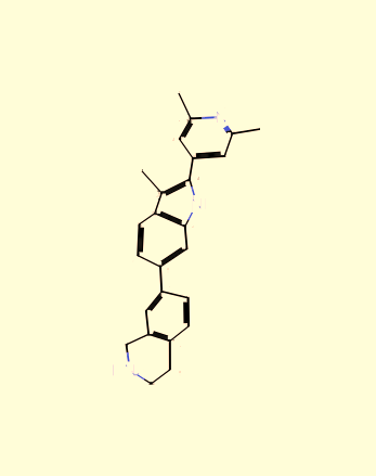 Cc1cc(-c2[nH]c3cc(-c4ccc5c(c4)CNCC5)ccc3c2C)cc(C)n1